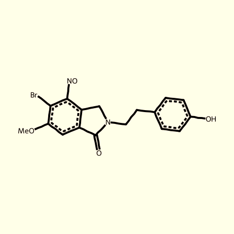 COc1cc2c(c(N=O)c1Br)CN(CCc1ccc(O)cc1)C2=O